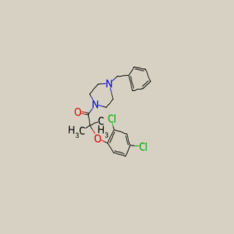 CC(C)(Oc1ccc(Cl)cc1Cl)C(=O)N1CCN(Cc2ccccc2)CC1